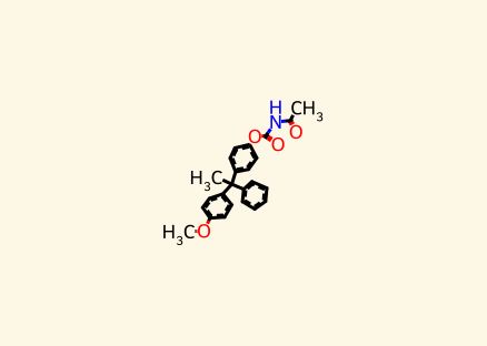 COc1ccc(C(C)(c2ccccc2)c2ccc(OC(=O)NC(C)=O)cc2)cc1